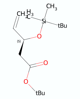 C=C[C@H](CC(=O)OC(C)(C)C)O[Si](C)(C)C(C)(C)C